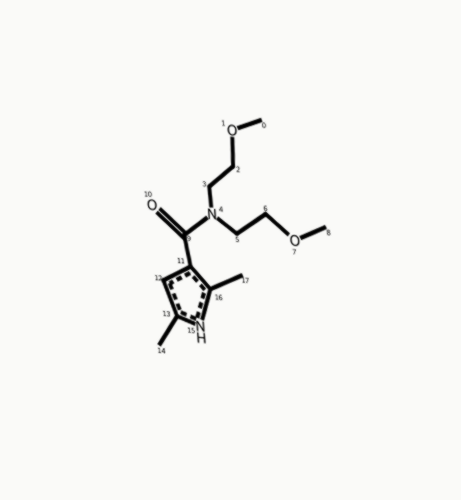 COCCN(CCOC)C(=O)c1cc(C)[nH]c1C